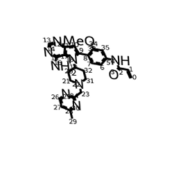 C=CC(=O)Nc1ccc(-c2cc3ncnc(N)c3n2C2CCN(Cc3nccc(C)n3)CC2)c(OC)c1